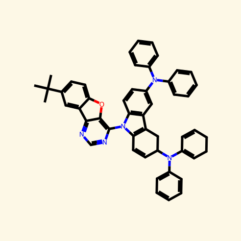 CC(C)(C)c1ccc2oc3c(-n4c5c(c6cc(N(c7ccccc7)c7ccccc7)ccc64)CC(N(C4=CCCC=C4)c4ccccc4)C=C5)ncnc3c2c1